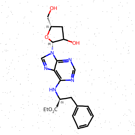 CCOC(=O)[C@H](Cc1ccccc1)Nc1ncnc2c1ncn2[C@@H]1O[C@H](CO)CC1O